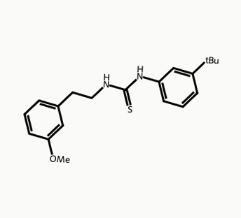 COc1cccc(CCNC(=S)Nc2cccc(C(C)(C)C)c2)c1